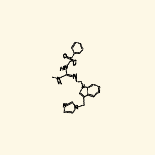 CN/C(=N\CCn1cc(Cn2ccnc2)c2ccccc21)NS(=O)(=O)c1ccccc1